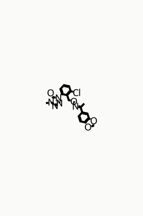 CC(=NOCc1c(Cl)cccc1-n1nnn(C)c1=O)c1ccc2c(c1)OCO2